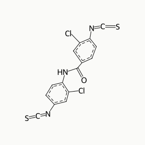 O=C(Nc1ccc(N=C=S)cc1Cl)c1ccc(N=C=S)c(Cl)c1